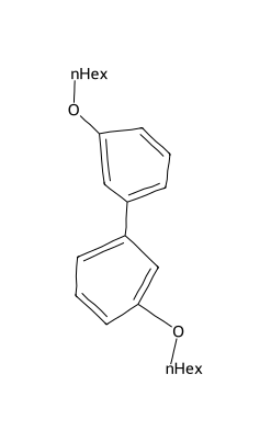 CCCCCCOc1cccc(-c2cccc(OCCCCCC)c2)c1